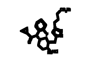 CCOC(=O)CCCn1cc(/C=C2\CN(C(C(=O)C3CC3)c3ccccc3F)CCC2S)nn1.Cl